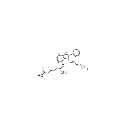 CCC/C=C/c1c(-c2ccccc2)oc2ncnc(O[C@H](C)CCCCC(=O)O)c12